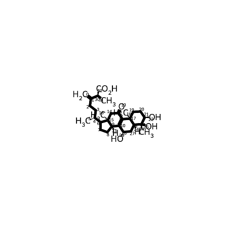 C=C(CC[C@@H](C)C1CC[C@H]2C3=C(C(=O)C[C@]12C)[C@@]1(C)CC[C@@H](O)[C@](C)(O)[C@@H]1C[C@@H]3O)[C@H](C)C(=O)O